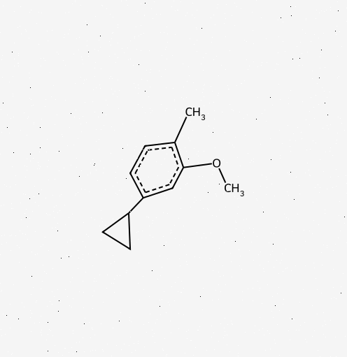 COc1cc(C2CC2)ccc1C